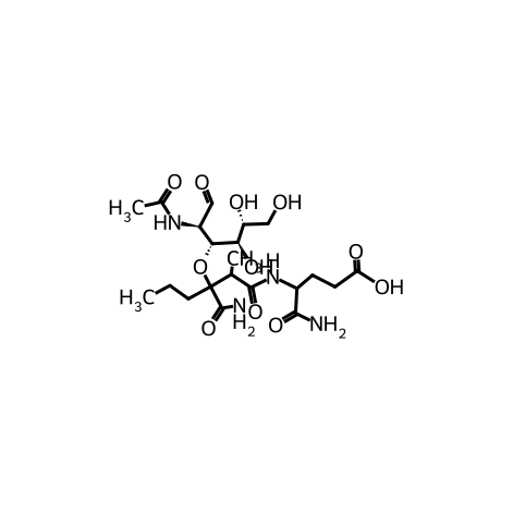 CCCC(O[C@@H]([C@H](O)[C@H](O)CO)[C@H](C=O)NC(C)=O)(C(N)=O)C(C)C(=O)NC(CCC(=O)O)C(N)=O